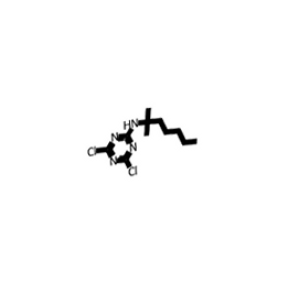 CCCCCC(C)(C)Nc1nc(Cl)nc(Cl)n1